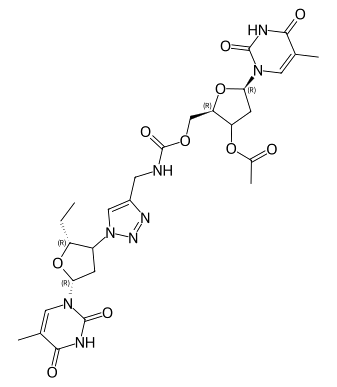 CC[C@H]1O[C@@H](n2cc(C)c(=O)[nH]c2=O)CC1n1cc(CNC(=O)OC[C@H]2O[C@@H](n3cc(C)c(=O)[nH]c3=O)CC2OC(C)=O)nn1